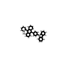 C1=C=Cc2c(c(C3=CC=CCN3)c3ccccc3c2-c2ccc(-n3c4ccccc4c4ccccc43)cc2)C=1